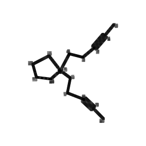 CC#CCC[Si]1(CCC#CC)CCCC1